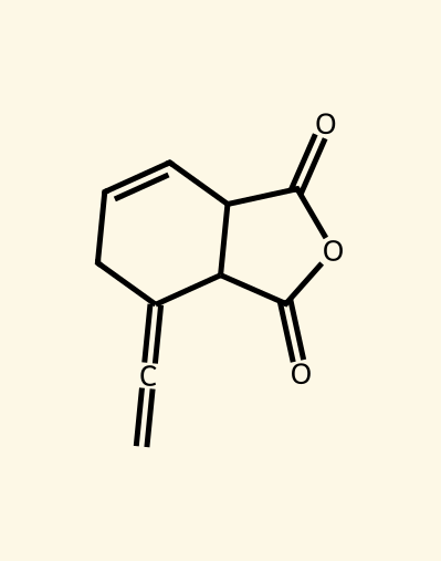 C=C=C1CC=CC2C(=O)OC(=O)C12